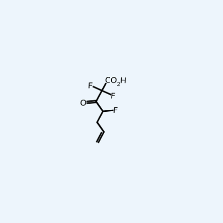 C=CCC(F)C(=O)C(F)(F)C(=O)O